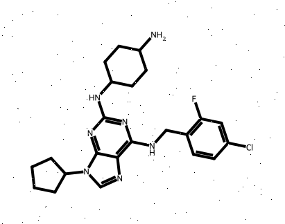 NC1CCC(Nc2nc(NCc3ccc(Cl)cc3F)c3ncn(C4CCCC4)c3n2)CC1